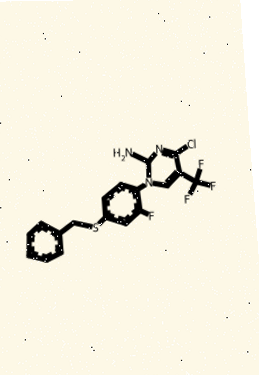 NC1N=C(Cl)C(C(F)(F)F)=CN1c1ccc(SCc2ccccc2)cc1F